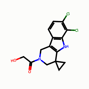 O=C(CO)N1Cc2c([nH]c3c(Cl)c(Cl)ccc23)C2(CC2)C1